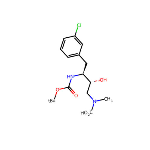 CN(C[C@@H](O)[C@H](Cc1cccc(Cl)c1)NC(=O)OC(C)(C)C)C(=O)O